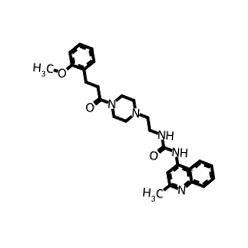 COc1ccccc1CCC(=O)N1CCN(CCNC(=O)Nc2cc(C)nc3ccccc23)CC1